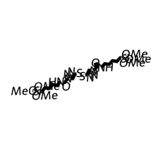 CO[Si](CCCCCNC(=O)n1cc(SSc2cn(C(=O)NCCCCC[Si](OC)(OC)OC)nn2)nn1)(OC)OC